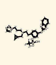 O=S(=O)(O)C(F)(F)F.c1ccc2sc(Oc3ccc(CCN(CCCn4ncnn4)CC4CC4)cc3)nc2c1